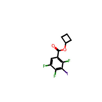 O=C(OC1CCC1)c1cc(F)c(F)c(I)c1F